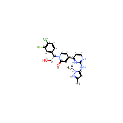 CCc1cc(Nc2nccc(-c3ccn([C@H](CO)c4ccc(Cl)c(F)c4)c(=O)c3)n2)n(C)n1